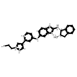 O[C@H]1Cc2ccccc2[C@H]1Nc1nc2ccc(Oc3ccnc(-c4cnn(CCF)c4)c3)cc2s1